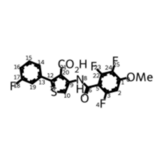 COc1cc(F)c(C(=O)Nc2csc(-c3cccc(F)c3)c2C(=O)O)c(F)c1F